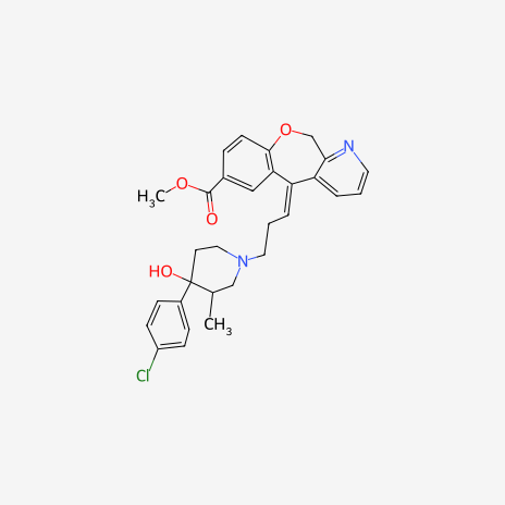 COC(=O)c1ccc2c(c1)C(=CCCN1CCC(O)(c3ccc(Cl)cc3)C(C)C1)c1cccnc1CO2